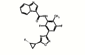 Cc1c(F)cc(-c2noc([C@H]3C[C@@H]3F)n2)c(F)c1NC(=O)c1cnc2ccccn12